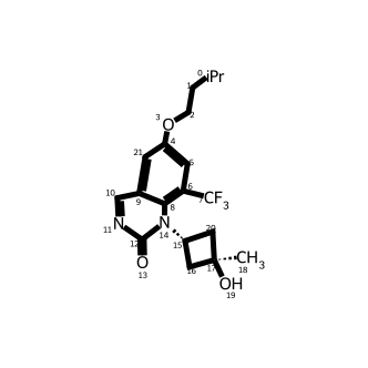 CC(C)CCOc1cc(C(F)(F)F)c2c(cnc(=O)n2[C@H]2C[C@](C)(O)C2)c1